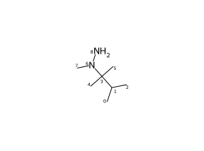 CC(C)C(C)(C)N(C)N